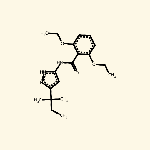 CCOc1cccc(OCC)c1C(=O)Nc1cc(C(C)(C)CC)n[nH]1